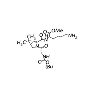 COC(=O)C(CCCCN)NC(=O)[C@@H]1C2C(CN1C(=O)CNC(=O)OC(C)(C)C)C2(C)C